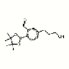 CC1(C)OB(c2ccc(CCCO)cc2C=O)OC1(C)C